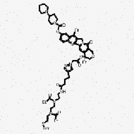 CCCSCCN(CCN(CCNC(=O)CCCc1cn(CC(=O)O[C@]2(CC)COCc3c2cc2n(c3=O)Cc3c-2nc2ccc(OC(=O)N4CCC(N5CCCCC5)CC4)cc2c3CC)nn1)C(=O)CC)C(=O)CC